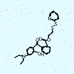 CCN(CC)c1ccc(C(=O)c2ccccc2C(=O)OCCSSc2ccccn2)c(O)c1